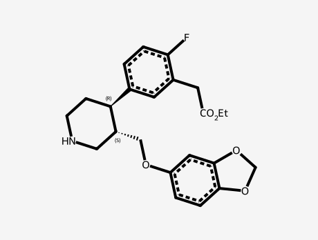 CCOC(=O)Cc1cc([C@@H]2CCNC[C@H]2COc2ccc3c(c2)OCO3)ccc1F